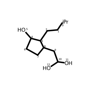 CC(C)CCC1C(O)CCC1CC(O)O